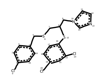 Clc1ccc(CSCC(Cn2ccnc2)Sc2ccc(Cl)cc2Cl)cc1